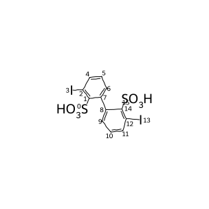 O=S(=O)(O)c1c(I)cccc1-c1cccc(I)c1S(=O)(=O)O